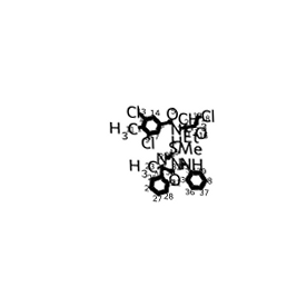 CCC(C)(NC(=O)c1cc(Cl)c(C)c(Cl)c1)C(=O)CCl.CSC1=N[C@@](C)(c2ccccc2)C(=O)N1Nc1ccccc1